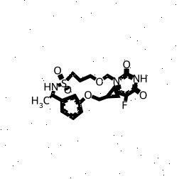 C[C@@H](NS(=O)(=O)CCCOCn1cc(F)c(=O)[nH]c1=O)c1cccc(OCC2CC2)c1